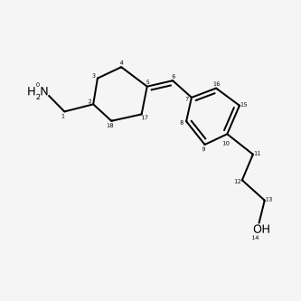 NCC1CCC(=Cc2ccc(CCCO)cc2)CC1